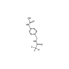 O=C(O)Nc1ccc(CNC(=O)C(F)(F)F)cc1